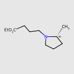 CCOC(=O)CCCN1CCC[C@H]1C